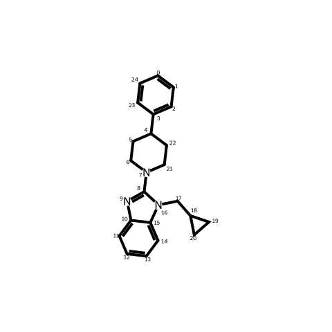 c1ccc(C2CCN(c3nc4ccccc4n3CC3CC3)CC2)cc1